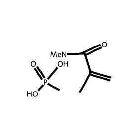 C=C(C)C(=O)NC.CP(=O)(O)O